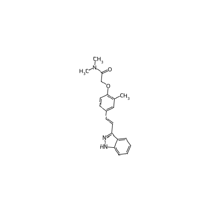 Cc1cc(/C=C/c2n[nH]c3ccccc23)ccc1OCC(=O)N(C)C